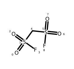 O=S(=O)(F)CS(=O)(=O)F